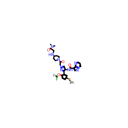 CC(C)Sc1ccc(OC(F)F)c(-c2nn(CC(=O)N3CCC(NCC(=O)N(C)C)CC3)cc2NC(=O)c2cnn3cccnc23)c1